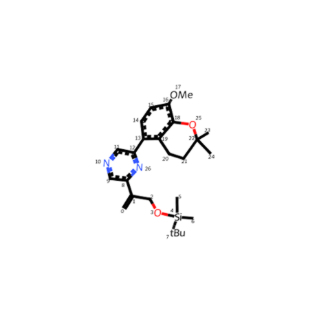 C=C(CO[Si](C)(C)C(C)(C)C)c1cncc(-c2ccc(OC)c3c2CCC(C)(C)O3)n1